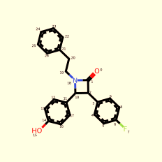 O=C1C(c2ccc(F)cc2)C(c2ccc(O)cc2)N1CCc1ccccc1